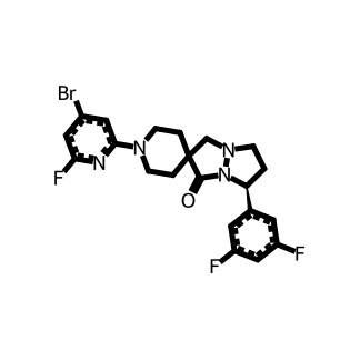 O=C1N2[C@H](c3cc(F)cc(F)c3)CCN2CC12CCN(c1cc(Br)cc(F)n1)CC2